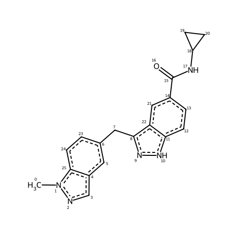 Cn1ncc2cc(Cc3n[nH]c4ccc(C(=O)NC5CC5)cc34)ccc21